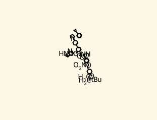 CC(C)(C)[Si](C)(C)OC1CCC(COc2ccc(S(=O)(=O)NC(=O)C3=CC=C(C4=CCC(N5CCC[C@H]5c5ccccc5C5CC5)CC4)CC3Oc3cnc4[nH]ccc4c3)cc2[N+](=O)[O-])CC1